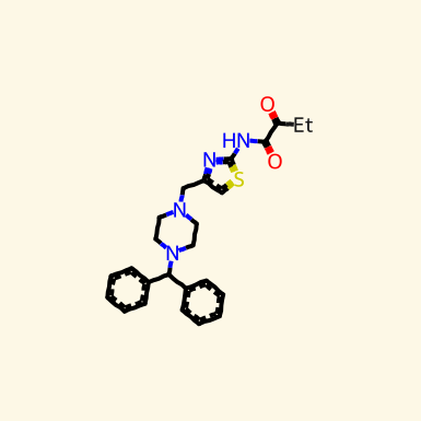 CCC(=O)C(=O)Nc1nc(CN2CCN(C(c3ccccc3)c3ccccc3)CC2)cs1